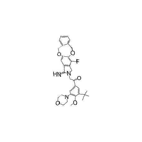 COc1c(N2CCOCC2)cc(C(=O)CN2Cc3c(cc4c(c3F)OCc3ccccc3CO4)C2=N)cc1C(C)(C)C